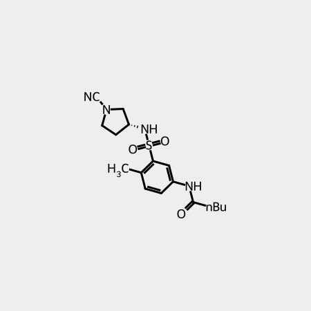 CCCCC(=O)Nc1ccc(C)c(S(=O)(=O)N[C@@H]2CCN(C#N)C2)c1